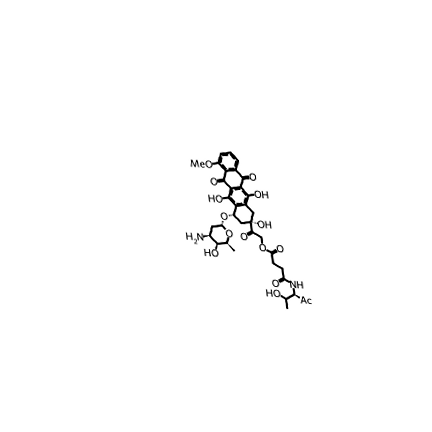 COc1cccc2c1C(=O)c1c(O)c3c(c(O)c1C2=O)C[C@@](O)(C(=O)COC(=O)CCC(=O)N[C@@H](C(C)=O)C(C)O)C[C@@H]3O[C@H]1C[C@H](N)[C@H](O)[C@H](C)O1